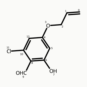 C=CCOc1cc(O)c(C=O)c(Cl)c1